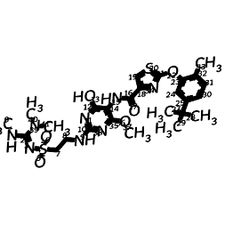 CNC(=NS(=O)(=O)CCNc1nc(O)c(NC(=O)c2csc(Oc3cc(C(C)(C)C)ccc3C)n2)c(OC)n1)N(C)C